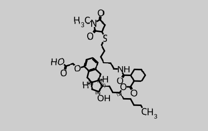 CCCCC[C@@H](CC[C@@H]1[C@H]2Cc3cccc(OCC(=O)O)c3C[C@H]2C[C@H]1O)OC(=O)C1CCCCC1C(=O)NCCCCCCSC1CC(=O)N(C)C1=O